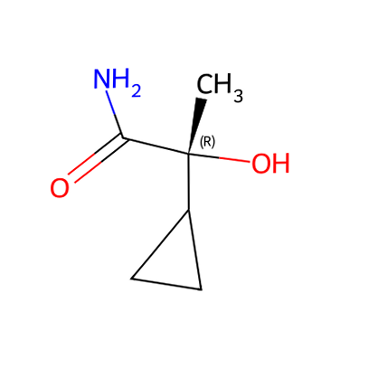 C[C@](O)(C(N)=O)C1CC1